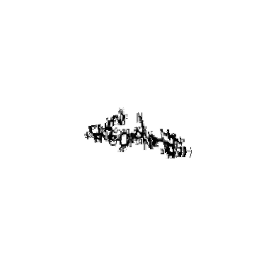 N#CCC1(n2cc(-c3ncnc4[nH]ccc34)cn2)CC(N2CCC(Oc3cc(CN4CCC4)nc(C(F)(F)F)n3)CC2)C1